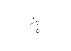 C[C@H](Nc1ncc2c(n1)N(C1CCCC1)CC(C)(C)C(=O)N2C)c1ccc(Cl)cc1